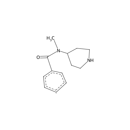 CN(C(=O)c1cc[c]cc1)C1CCNCC1